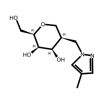 Cc1cnn(C[C@@H]2CO[C@H](CO)[C@H](O)[C@@H]2O)c1